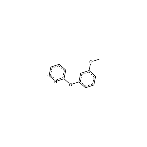 COc1cccc(Oc2ccc[c]n2)c1